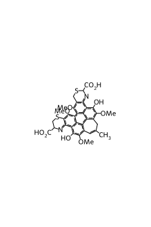 COc1c(O)c2c3c(c(OC)c4c5c(OC)c6c(c7c(O)c(OC)c8c(c(c1C=C(C)C8)c24)c75)=NC(C(=O)O)SC6)SCC(C(=O)O)N=3